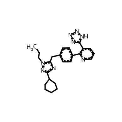 CCCn1nc(C2CCCCC2)nc1Cc1ccc(-c2ncccc2-c2nnn[nH]2)cc1